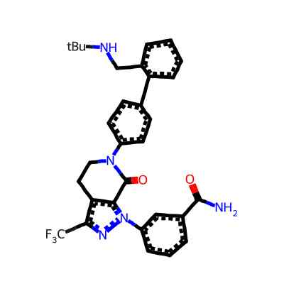 CC(C)(C)NCc1ccccc1-c1ccc(N2CCc3c(C(F)(F)F)nn(-c4cccc(C(N)=O)c4)c3C2=O)cc1